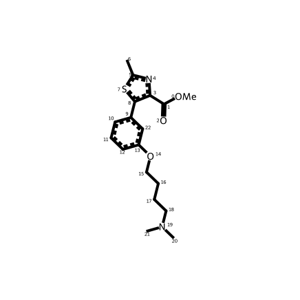 COC(=O)c1nc(C)sc1-c1cccc(OCCCCN(C)C)c1